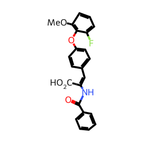 COc1cccc(F)c1Oc1ccc(/C=C(/NC(=O)c2ccccc2)C(=O)O)cc1